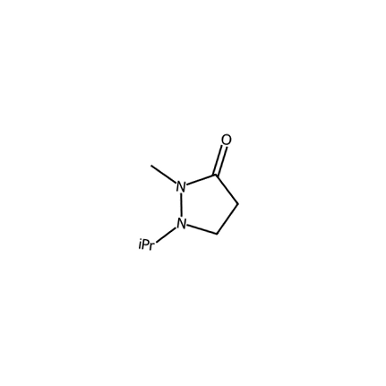 CC(C)N1CCC(=O)N1C